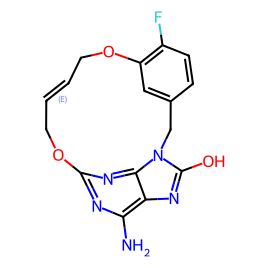 Nc1nc2nc3c1nc(O)n3Cc1ccc(F)c(c1)OC/C=C/CO2